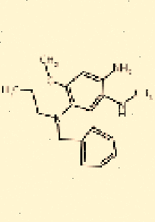 CCCN(Cc1ccccc1)c1cc(NC)c(N)cc1OC